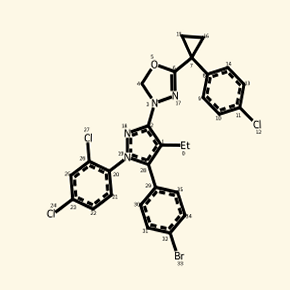 CCc1c(N2COC(C3(c4ccc(Cl)cc4)CC3)=N2)nn(-c2ccc(Cl)cc2Cl)c1-c1ccc(Br)cc1